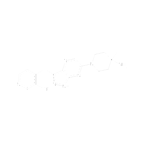 CC1(N)CCN(c2cnc3c(Oc4ccncc4C(F)(F)F)n[nH]c3n2)CC1